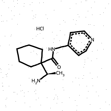 C[C@@H](N)C1(C(=O)Nc2ccncc2)CCCCC1.Cl